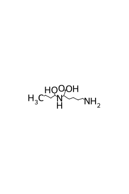 CCCC(O)NC(CCCCN)C(=O)O